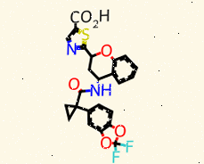 O=C(O)c1cnc(C2C[C@@H](NC(=O)C3(c4ccc5c(c4)OC(F)(F)O5)CC3)c3ccccc3O2)s1